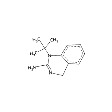 CC(C)(C)N1C(N)=NCc2ccccc21